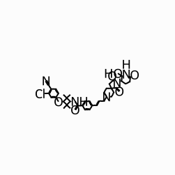 CC1(C)[C@H](NC(=O)c2ccc(/C=C/CN3CCC4(CC3)CC(=O)N(C3CCC(=O)NC3O)C4=O)cc2)C(C)(C)[C@H]1Oc1ccc(C#N)c(Cl)c1